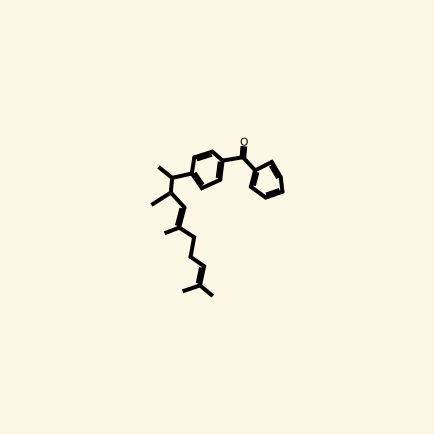 CC(C)=CCC/C(C)=C/C(C)C(C)c1ccc(C(=O)c2ccccc2)cc1